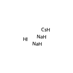 I.[CsH].[NaH].[NaH]